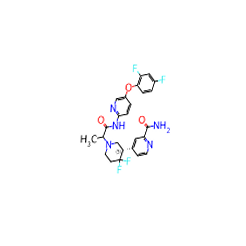 CC(C(=O)Nc1ccc(Oc2ccc(F)cc2F)cn1)N1CCC(F)(F)[C@@H](c2ccnc(C(N)=O)c2)C1